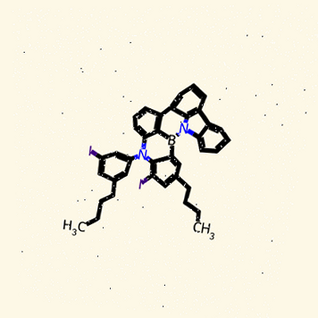 CCCCc1cc(I)cc(N2c3cccc4c3B(c3cc(CCCC)cc(I)c32)n2c3ccccc3c3cccc-4c32)c1